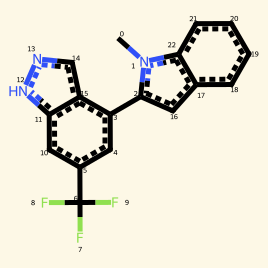 Cn1c(-c2cc(C(F)(F)F)cc3[nH]ncc23)cc2ccccc21